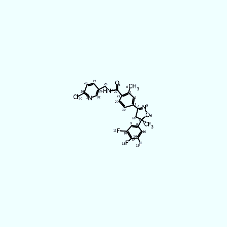 Cc1cc(C2=NOC(c3cc(F)c(F)c(F)c3)(C(F)(F)F)C2)ccc1C(=O)NCc1ccc(Cl)nc1